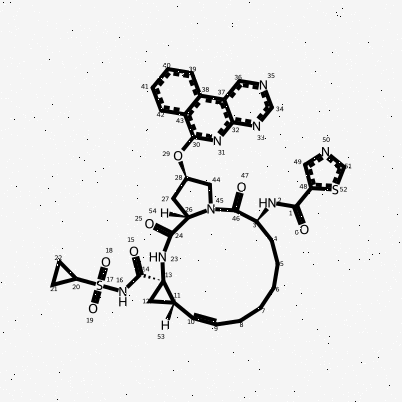 O=C(N[C@H]1CCCCC/C=C\[C@@H]2C[C@@]2(C(=O)NS(=O)(=O)C2CC2)NC(=O)[C@@H]2C[C@@H](Oc3nc4ncncc4c4ccccc34)CN2C1=O)c1cncs1